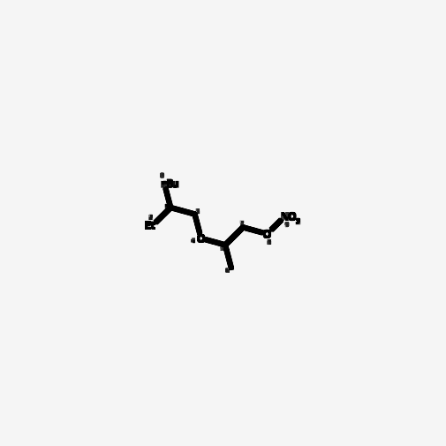 CCCCC(CC)COC(C)CO[N+](=O)[O-]